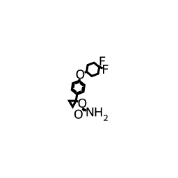 NC(=O)OC1(c2ccc(OC3CCC(F)(F)CC3)cc2)CC1